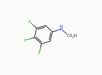 CCOC(=O)Nc1cc(F)c(F)c(F)c1